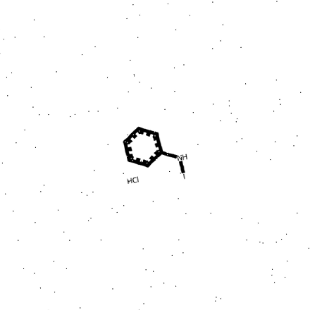 Cl.INc1ccccc1